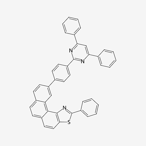 c1ccc(-c2cc(-c3ccccc3)nc(-c3ccc(-c4ccc5ccc6ccc7sc(-c8ccccc8)nc7c6c5c4)cc3)n2)cc1